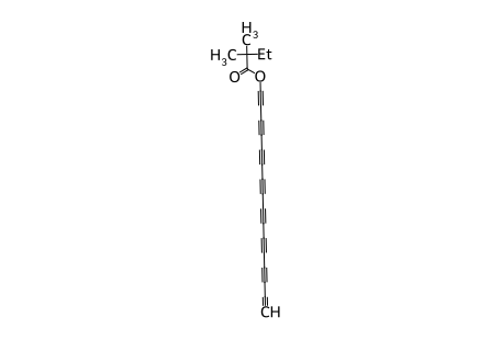 C#CC#CC#CC#CC#CC#CC#CC#COC(=O)C(C)(C)CC